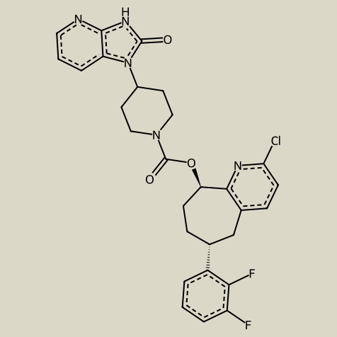 O=C(O[C@@H]1CC[C@@H](c2cccc(F)c2F)Cc2ccc(Cl)nc21)N1CCC(n2c(=O)[nH]c3ncccc32)CC1